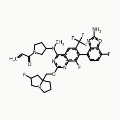 C=CC(=O)N1CCC(N(C)c2nc(OCC34CCCN3CC(F)C4)nc3c(F)c(-c4ccc(F)c5oc(N)nc45)c(C(F)(F)F)cc23)C1